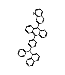 c1ccc(N(c2ccc(-c3c4ccccc4c(-c4ccc5cccnc5c4)c4ccccc34)cc2)c2cccc3ccccc23)cc1